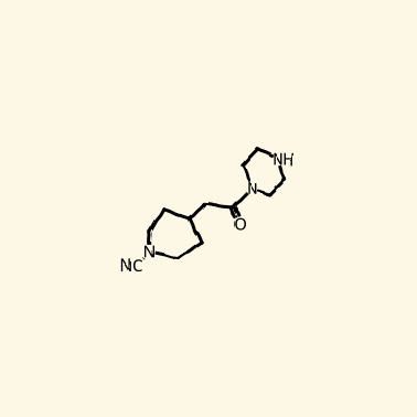 N#CN1CCC(CC(=O)N2CCNCC2)CC1